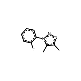 Cc1nnn(-c2ccccc2F)c1C